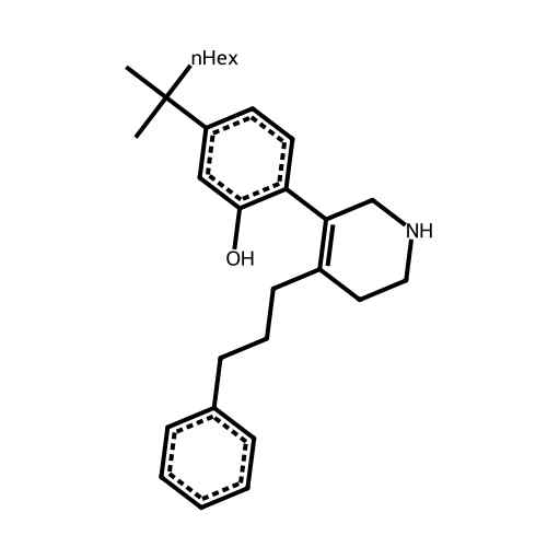 CCCCCCC(C)(C)c1ccc(C2=C(CCCc3ccccc3)CCNC2)c(O)c1